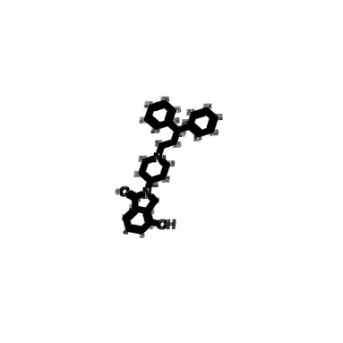 O=C1c2cccc(O)c2CN1C1CCN(CCC(c2ccccc2)c2ccccc2)CC1